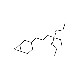 CCO[Si](CC)(CCCC1CCC2OC2C1)OCC